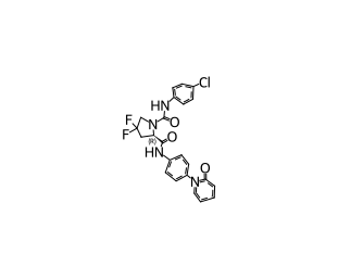 O=C(Nc1ccc(-n2ccccc2=O)cc1)[C@H]1CC(F)(F)CN1C(=O)Nc1ccc(Cl)cc1